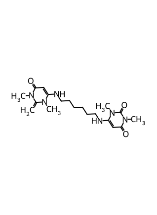 C=C1N(C)C(=O)C=C(NCCCCCCNc2cc(=O)n(C)c(=O)n2C)N1C